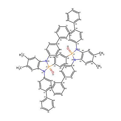 Cc1cc2c(cc1C)N(c1ccc(-c3ccccc3)cc1)P(=O)(c1ccc(P3(=O)N(c4ccc(-c5ccccc5)cc4)c4cc(C)c(C)cc4N3c3ccc(-c4ccccc4)cc3)cc1)N2c1ccc(-c2ccccc2)cc1